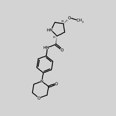 CO[C@H]1CN[C@@H](C(=O)Nc2ccc(N3CCOCC3=O)cc2)C1